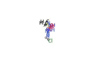 CCN(CC)CC(CSc1ccccc1)Nc1ccc(S(=O)(=O)Nc2ncnc3cc(N4CCN(CC5=C(c6ccc(Cl)cc6)CCCC5)CC4)ccc23)cc1[N+](=O)[O-]